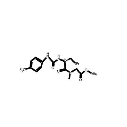 CC(C)C[C@H](NC(=O)Nc1ccc(C(F)(F)F)cc1)C(=O)N(C)CC(=O)OC(C)(C)C